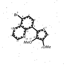 COc1csc(-c2ccc(Br)c3nccnc23)c1OC